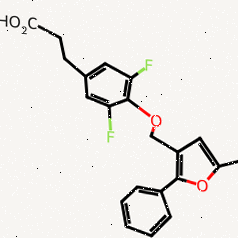 Cc1cc(COc2c(F)cc(CCC(=O)O)cc2F)c(-c2ccccc2)o1